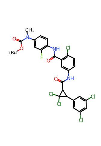 CN(C(=O)OC(C)(C)C)c1ccc(NC(=O)c2cc(NC(=O)C3C(c4cc(Cl)cc(Cl)c4)C3(Cl)Cl)ccc2Cl)c(F)c1